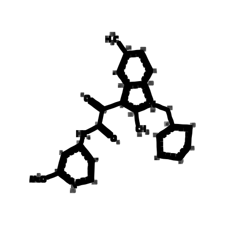 COc1cc(NC(=O)C(=O)c2c(C)n(Cc3ccccc3)c3ccc(C)cc23)ccn1